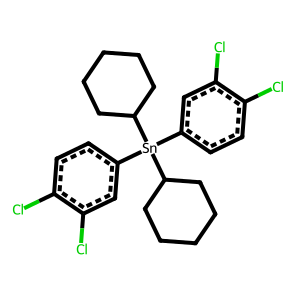 Clc1cc[c]([Sn]([c]2ccc(Cl)c(Cl)c2)([CH]2CCCCC2)[CH]2CCCCC2)cc1Cl